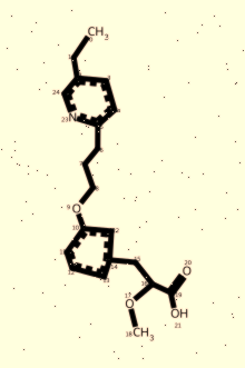 CCc1ccc(CCCOc2cccc(CC(OC)C(=O)O)c2)nc1